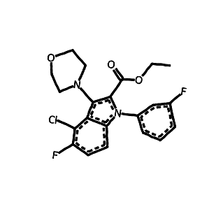 CCOC(=O)c1c(N2CCOCC2)c2c(Cl)c(F)ccc2n1-c1cccc(F)c1